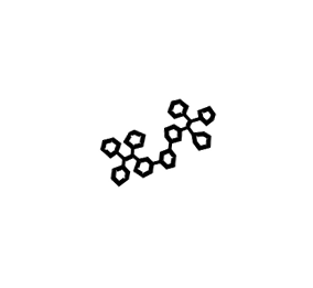 c1ccc(C(=C(c2ccccc2)c2cccc(-c3cccc(-c4cccc(C(=C(c5ccccc5)c5ccccc5)c5ccccc5)c4)c3)c2)c2ccccc2)cc1